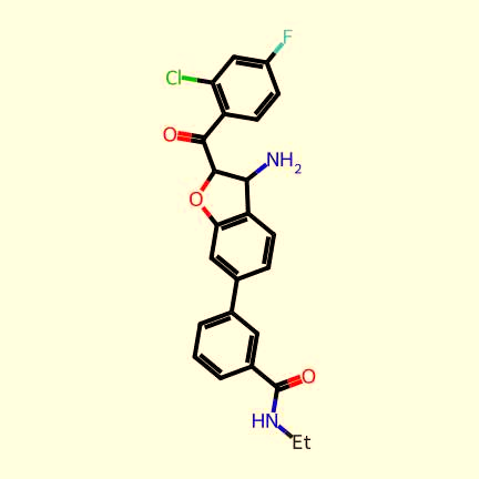 CCNC(=O)c1cccc(-c2ccc3c(c2)OC(C(=O)c2ccc(F)cc2Cl)C3N)c1